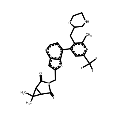 Cc1nc(C(F)(F)F)cc(-c2ccnc3cc(CN4C(=O)C5C(C4=O)C5(C)C)sc23)c1CC1CNCCO1